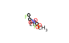 CCc1c(C(=O)N2CCOc3ccc(-c4ccccc4F)cc3C2)ccc(S(C)(=O)=O)c1F